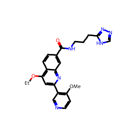 CCOc1cc(-c2cnccc2OC)nc2cc(C(=O)NCCCc3nnc[nH]3)ccc12